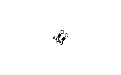 [O]=[Ag].[O]=[Hg]